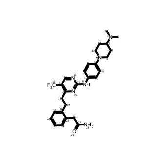 CN(C)C1CCN(c2ccc(Nc3ncc(C(F)(F)F)c(CCc4ccccc4CC(N)=O)n3)cc2)CC1